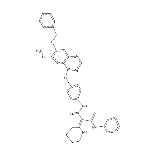 COc1cc2c(Oc3ccc(NC(=O)/C(C(=O)Nc4ccccc4)=C4\CCCCN4)cc3)ncnc2cc1OCc1ccccc1